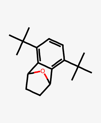 CC(C)(C)c1ccc(C(C)(C)C)c2c1C1CCC2O1